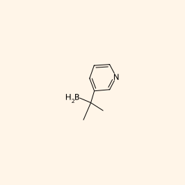 BC(C)(C)c1cccnc1